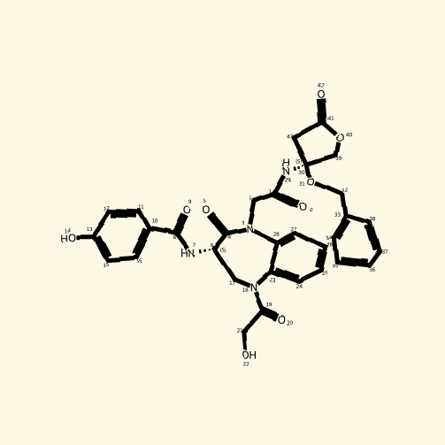 O=C(CN1C(=O)[C@@H](NC(=O)c2ccc(O)cc2)CN(C(=O)CO)c2ccccc21)N[C@@]1(OCc2ccccc2)COC(=O)C1